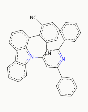 N#Cc1cccc(C#N)c1-c1cccc2c3ccccc3n(-c3cc(-c4ccccc4)nc(-c4ccccc4)c3)c12